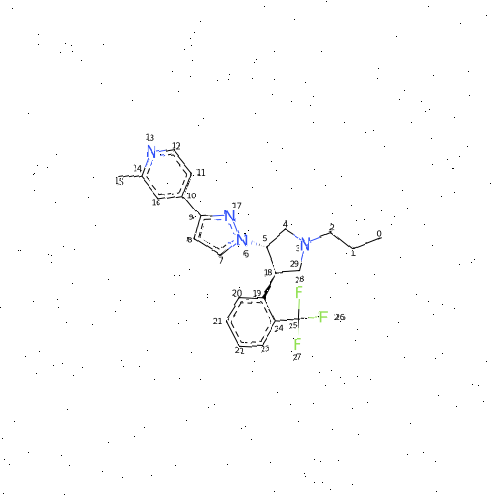 CCCN1C[C@@H](n2ccc(-c3ccnc(C)c3)n2)[C@H](c2ccccc2C(F)(F)F)C1